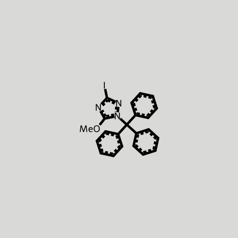 COc1nc(I)nn1C(c1ccccc1)(c1ccccc1)c1ccccc1